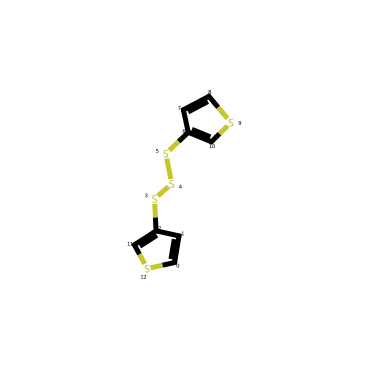 c1cc(SSSc2ccsc2)cs1